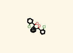 O=C(c1ccccc1Cl)[C]12[CH]3[CH]4[CH]5[C]1(C(=O)c1ccccc1Cl)[Fe]43521678[CH]2[CH]1[CH]6[CH]7[CH]28